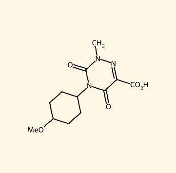 COC1CCC(n2c(=O)c(C(=O)O)nn(C)c2=O)CC1